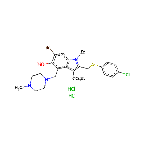 CCOC(=O)c1c(CSc2ccc(Cl)cc2)n(CC)c2cc(Br)c(O)c(CN3CCN(C)CC3)c12.Cl.Cl